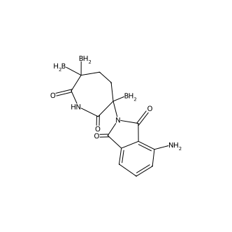 BC1(B)CCC(B)(N2C(=O)c3cccc(N)c3C2=O)C(=O)NC1=O